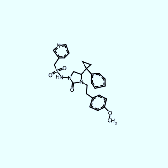 COc1ccc(CCN2C(=O)N(NS(=O)(=O)Cc3cccnc3)CC2C2(c3ccccc3)CC2)cc1